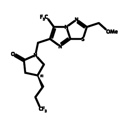 COCc1nn2c(C(F)(F)F)c(CN3C[C@@H](CCC(F)(F)F)CC3=O)nc2s1